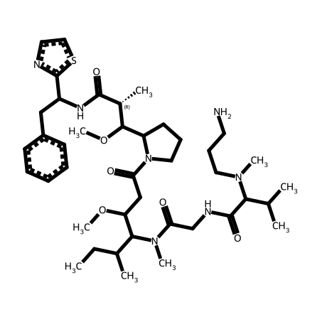 CCC(C)C(C(CC(=O)N1CCCC1C(OC)[C@@H](C)C(=O)NC(Cc1ccccc1)c1nccs1)OC)N(C)C(=O)CNC(=O)C(C(C)C)N(C)CCCN